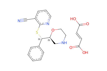 N#Cc1cccnc1S[C@@H](c1ccccc1)[C@@H]1CNCCO1.O=C(O)C=CC(=O)O